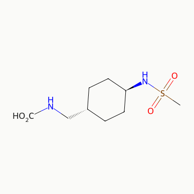 CS(=O)(=O)N[C@H]1CC[C@H](CNC(=O)O)CC1